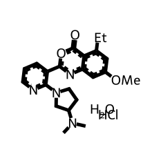 CCc1cc(OC)cc2nc(-c3cccnc3N3CCC(N(C)C)C3)oc(=O)c12.Cl.O